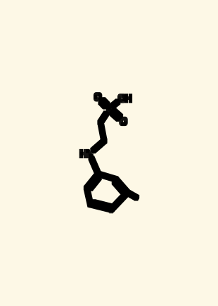 Cc1[c]ccc(NCCS(=O)(=O)O)c1